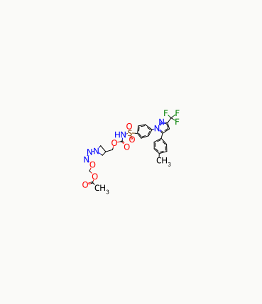 CC(=O)OCO/N=N\N1CC(COC(=O)NS(=O)(=O)c2ccc(-n3nc(C(F)(F)F)cc3-c3ccc(C)cc3)cc2)C1